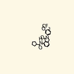 O=C(Nc1cccc2c1C(=O)N(c1cccc(OC(F)(F)F)c1)C2)C1CCCC1